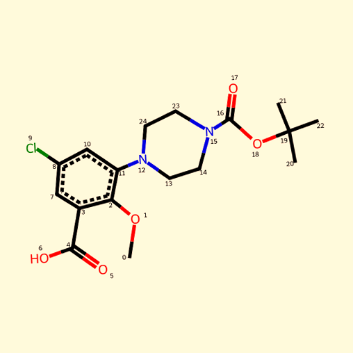 COc1c(C(=O)O)cc(Cl)cc1N1CCN(C(=O)OC(C)(C)C)CC1